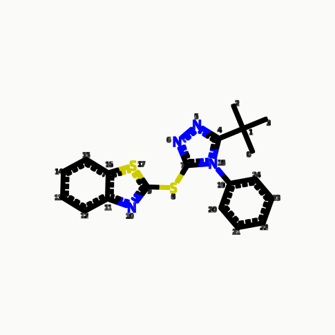 CC(C)(C)c1nnc(Sc2nc3ccccc3s2)n1-c1ccccc1